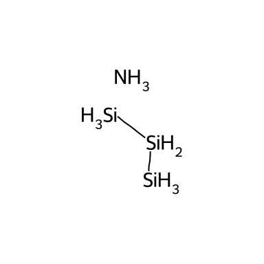 N.[SiH3][SiH2][SiH3]